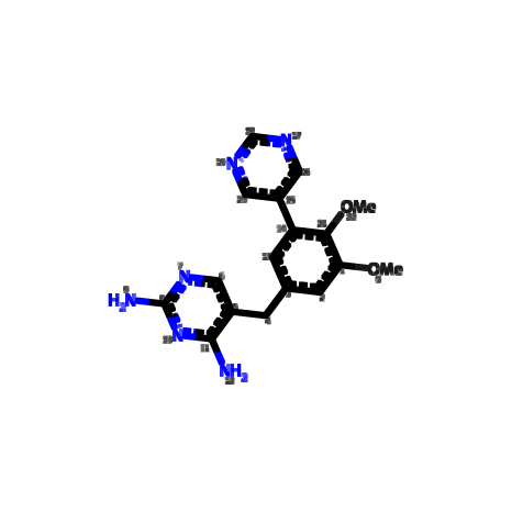 COc1cc(Cc2cnc(N)nc2N)cc(-c2cncnc2)c1OC